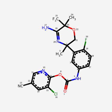 CC1(c2cc(NC(=O)Oc3ncc(C#N)cc3Cl)ccc2F)COC(C)(C(F)(F)F)C(N)=N1